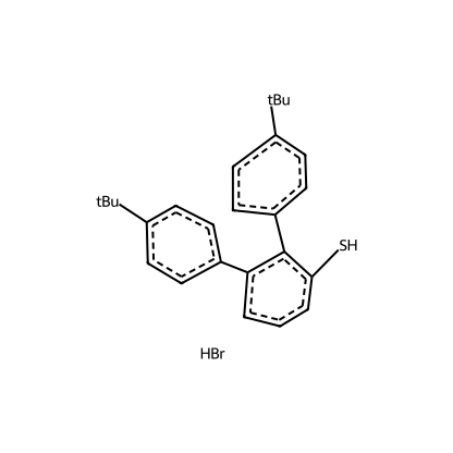 Br.CC(C)(C)c1ccc(-c2cccc(S)c2-c2ccc(C(C)(C)C)cc2)cc1